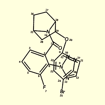 O=C(c1cccc(F)c1-n1nccn1)N1C2CCC1C(Oc1ccc(Br)cn1)C2